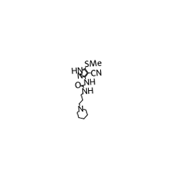 CSc1[nH]nc(NC(=O)NCCCN2CCCCC2)c1C#N